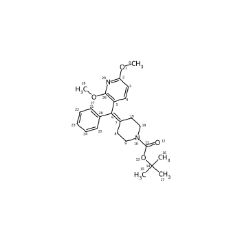 COc1ccc(C(=C2CCN(C(=O)OC(C)(C)C)CC2)c2ccccc2)c(OC)n1